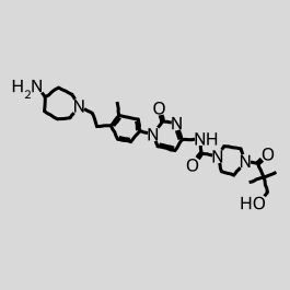 Cc1cc(-n2ccc(NC(=O)N3CCN(C(=O)C(C)(C)CO)CC3)nc2=O)ccc1CCN1CCCC(N)CC1